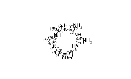 CCCCCCCCCC[C@H]1OC(=O)CNC(=O)[C@H](CN)NC(=O)[C@H](CN)NC(=O)[C@H]([C@@H](C)CC)NC(=O)[C@H](CC(C)C)N(C)C(=O)[C@@H]1C